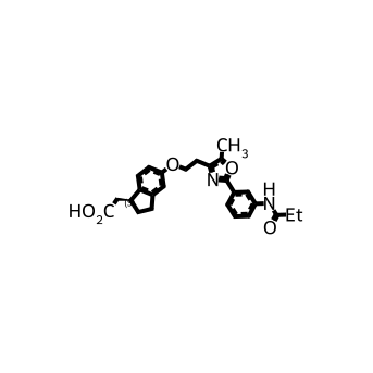 CCC(=O)Nc1cccc(-c2nc(CCOc3ccc4c(c3)CC[C@H]4CC(=O)O)c(C)o2)c1